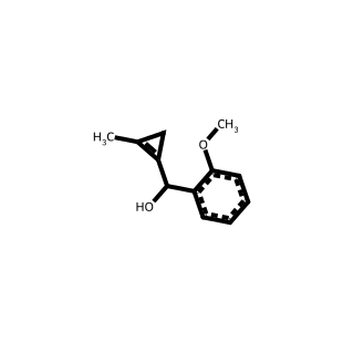 COc1ccccc1C(O)C1=C(C)C1